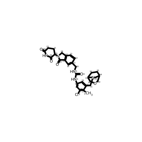 Cc1c(Cl)cc(NC(=O)NCc2ccc3c(c2)C(=O)N(C2CCC(=O)NC2=O)C3)cc1CN1CC2CCC1COC2